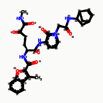 CNC(=O)C(=O)CC[C@H](NC(=O)c1oc2ccccc2c1C)C(=O)Nc1cccn(CC(=O)NC2CC3C=CC2C3)c1=O